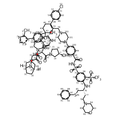 Cc1ncsc1-c1ccc([C@H](C)NC(=O)[C@@H]2C[C@@H](O)CN2C(=O)[C@@H](NC(=O)CN2[C@@H]3CC[C@H]2CN(CC(=O)N2CCN(CC4(C)CCC(c5ccc(Cl)cc5)=C(CN5CCN(c6ccc(C(=O)NS(=O)(=O)c7ccc(N[C@H](CCN8CCOCC8)CSc8ccccc8)c(S(=O)(=O)C(F)(F)F)c7)cc6)CC5)C4)CC2)C3)C(C)(C)C)cc1